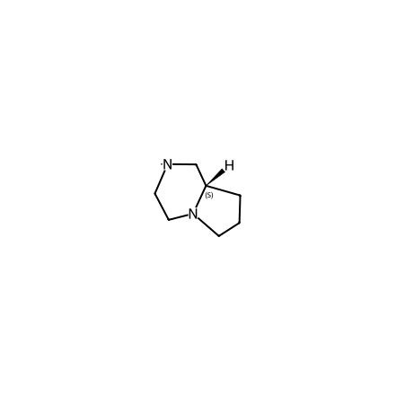 C1C[C@H]2C[N]CCN2C1